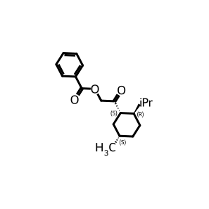 CC(C)[C@H]1CC[C@H](C)C[C@@H]1C(=O)COC(=O)c1ccccc1